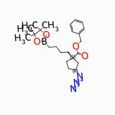 CC1(C)OB(CCCC[C@]2(C(=O)OCc3ccccc3)CC[C@@H](N=[N+]=[N-])C2)OC1(C)C